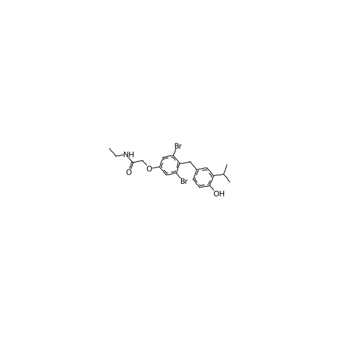 CCNC(=O)COc1cc(Br)c(Cc2ccc(O)c(C(C)C)c2)c(Br)c1